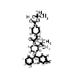 CC(C)(C)OC(=O)N1CCC(CC(=O)N2CCN(C(c3ccccc3)c3ccc(F)cc3)C[C@@H]2C(C)(C)C)CC1